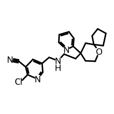 N#Cc1cc(CNCCC2(c3ccccn3)CCOC3(CCCC3)C2)cnc1Cl